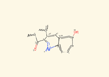 COC(=O)c1nc2cccc(O)c2cc1OC